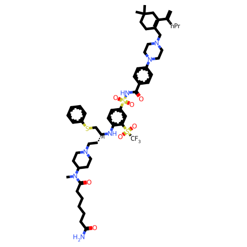 C=C(CCC)C1=C(CN2CCN(c3ccc(C(=O)NS(=O)(=O)c4ccc(N[C@H](CCN5CCC(N(C)C(=O)CCCCCC(N)=O)CC5)CSc5ccccc5)c(S(=O)(=O)C(F)(F)F)c4)cc3)CC2)CCC(C)(C)C1